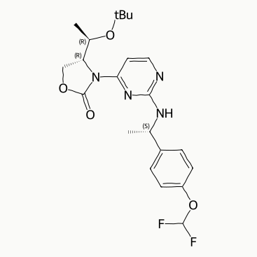 C[C@H](Nc1nccc(N2C(=O)OC[C@@H]2[C@@H](C)OC(C)(C)C)n1)c1ccc(OC(F)F)cc1